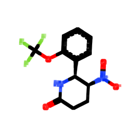 O=C1CC[C@H]([N+](=O)[O-])[C@H](c2ccccc2OC(F)(F)F)N1